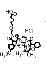 CN[C@@H](C)C(=O)N[C@H](C(=O)N1CCN(C(=O)c2c(C(=O)NCCOCCOCC(=O)O)c3ccc(OC)cc3n2C)CC1)C1CCCCC1.Cl